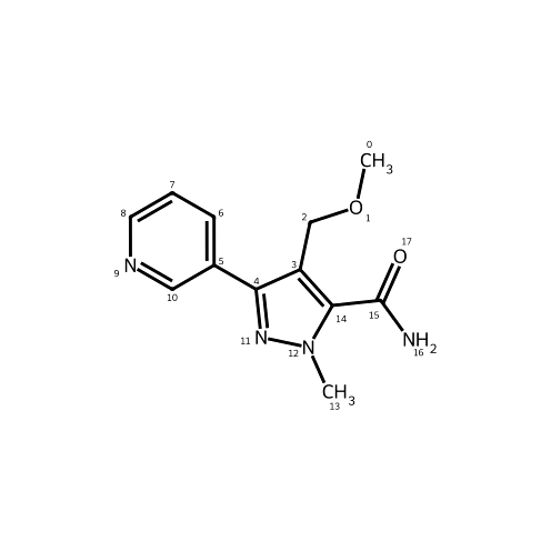 COCc1c(-c2cccnc2)nn(C)c1C(N)=O